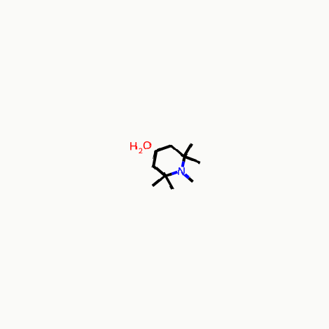 CN1C(C)(C)CCCC1(C)C.O